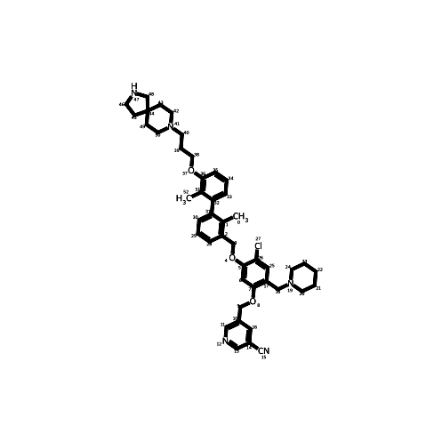 Cc1c(COc2cc(OCc3cncc(C#N)c3)c(CN3CCCCC3)cc2Cl)cccc1-c1cccc(OCCCN2CCC3(CCNC3)CC2)c1C